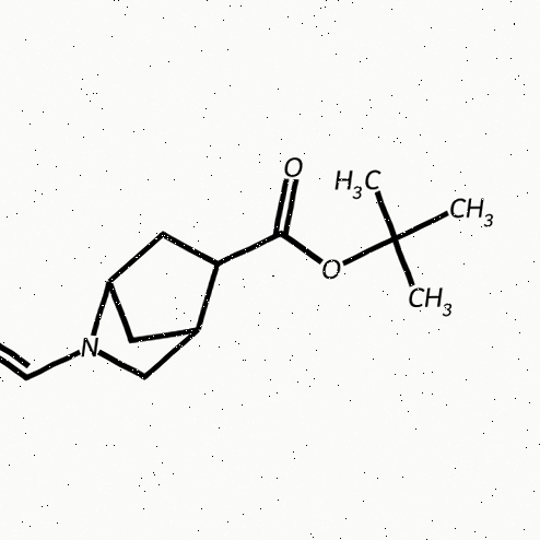 CC(C)(C)OC(=O)C1CC2CC1CN2C=O